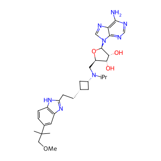 COCC(C)(C)c1ccc2[nH]c(CC[C@H]3C[C@@H](N(C[C@H]4O[C@@H](n5cnc6c(N)ncnc65)[C@H](O)[C@@H]4O)C(C)C)C3)nc2c1